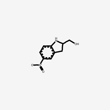 O=[N+]([O-])c1ccc2c(c1)CC(CO)N2